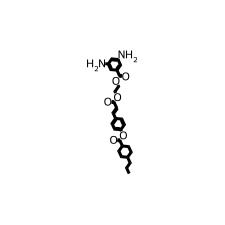 CCCC1CCC(C(=O)Oc2ccc(/C=C/C(=O)OCCOC(=O)c3cc(N)cc(N)c3)cc2)CC1